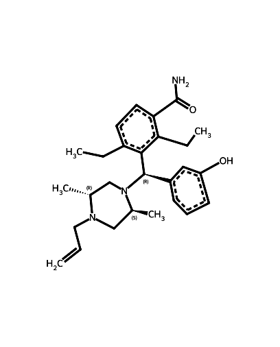 C=CCN1C[C@H](C)N([C@H](c2cccc(O)c2)c2c(CC)ccc(C(N)=O)c2CC)C[C@H]1C